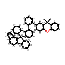 CC1(C)c2ccccc2Oc2ccc(-c3ccccc3-c3cccc4c3-c3ccccc3C43c4ccccc4-c4ccc5ccccc5c43)cc21